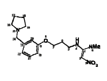 CNC(=C[N+](=O)[O-])NCCCOc1cccc(CN2CCCC2)c1